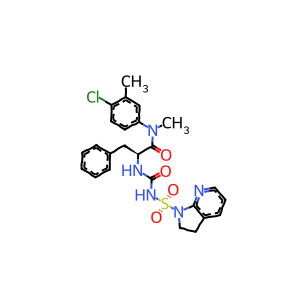 Cc1cc(N(C)C(=O)[C@H](Cc2ccccc2)NC(=O)NS(=O)(=O)N2CCc3cccnc32)ccc1Cl